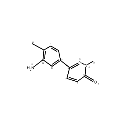 Cc1ccc(-c2ccc(=O)n(C)n2)cc1N